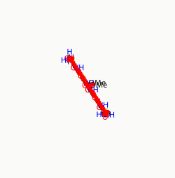 COC(OC)c1cc(C(=O)NCCCOCCOCCOCCCNC(=O)CCCC[C@@H]2SC[C@@H]3NC(=O)N[C@@H]32)cc(C(=O)NCCCOCCOCCOCCCNC(=O)CCCC[C@@H]2SC[C@@H]3NC(=O)N[C@@H]32)c1